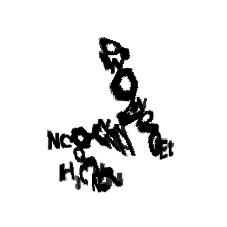 CCOCCOc1nn([C@H]2CC[C@H](N3CCOCC3)CC2)cc1Nc1ncc(-c2ccc(C#N)c(O[C@@H](C)Cn3cncn3)c2)cn1